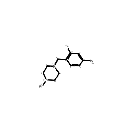 CC(C)N1CCN(Cc2ccc(Br)cc2F)CC1